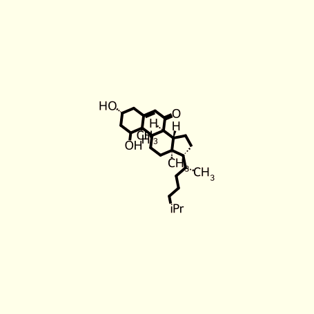 CC(C)CCC[C@@H](C)[C@H]1CC[C@H]2[C@@H]3C(=O)C=C4C[C@@H](O)CC(O)[C@]4(C)[C@H]3CC[C@]12C